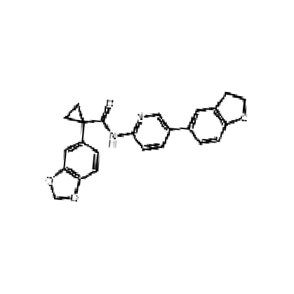 O=C(Nc1ccc(-c2ccc3c(c2)CCO3)cn1)C1(c2ccc3c(c2)OCO3)CC1